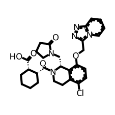 O=C(O)[C@H]1CCCC[C@H]1C(=O)N1CCc2c(Cl)ccc(OCc3nnc4ccccn34)c2[C@H]1CN1CCCC1=O